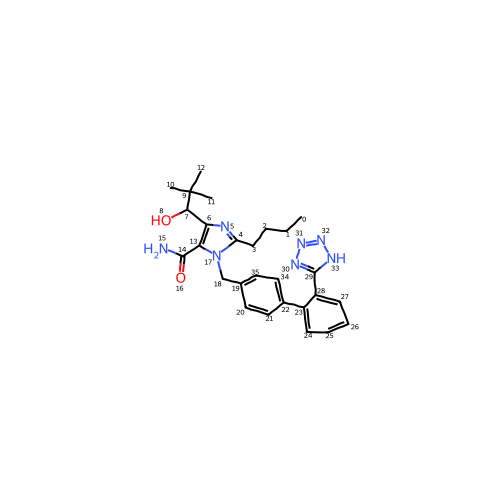 CCCCc1nc(C(O)C(C)(C)C)c(C(N)=O)n1Cc1ccc(-c2ccccc2-c2nnn[nH]2)cc1